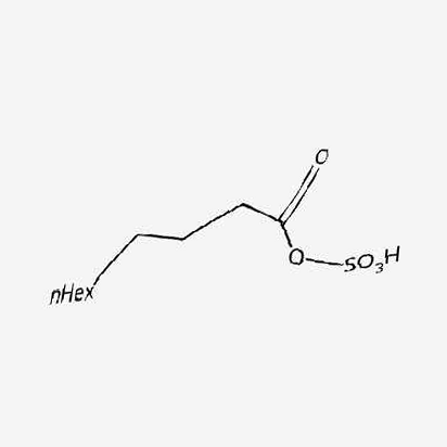 CCCCCCCCCC(=O)OS(=O)(=O)O